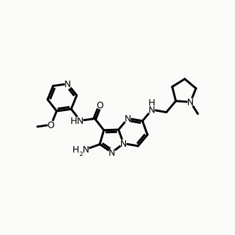 COc1ccncc1NC(=O)c1c(N)nn2ccc(NCC3CCCN3C)nc12